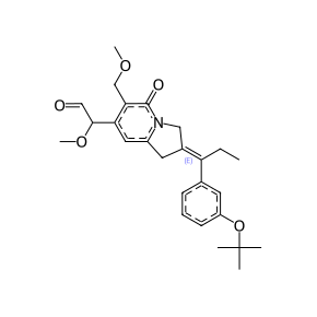 CC/C(=C1/Cc2cc(C(C=O)OC)c(COC)c(=O)n2C1)c1cccc(OC(C)(C)C)c1